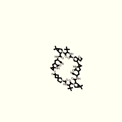 CC(C)(C)C(NC(=O)N1CCC2(C1)CC(F)(F)C2)C(=O)N1CC2C(C1C(=O)NC(C#N)CC1CC3(CC3C3CN(C(=O)NC(C(=O)N4CC5C(C4C(=O)NC(C#N)CC4CC6(CC6)NC4=O)C5(C)C)C(C)(C)C)CC34CCO4)NC1=O)C2(C)C